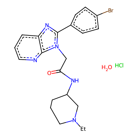 CCN1CCCC(NC(=O)Cn2c(-c3ccc(Br)cc3)nc3cccnc32)C1.Cl.O